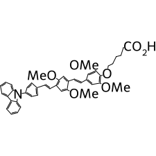 COc1cc(/C=C/c2cc(OC)c(OCCCCCC(=O)O)c(OC)c2)c(OC)cc1/C=C/c1ccc(-n2c3ccccc3c3ccccc32)cc1